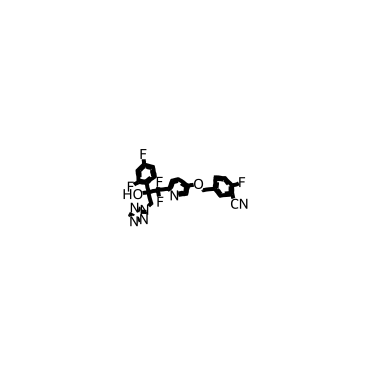 N#Cc1cc(COc2ccc(C(F)(F)C(O)(Cn3ncnn3)c3ccc(F)cc3F)nc2)ccc1F